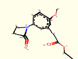 CCOC(=O)Cc1cc(N2CCC2=O)ccc1OC